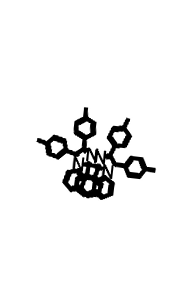 Cc1ccc(C2=NC(c3cccc4ccccc34)(C3(c4cccc5ccccc45)N=C(c4ccc(C)cc4)C(c4ccc(C)cc4)=N3)N=C2c2ccc(C)cc2)cc1